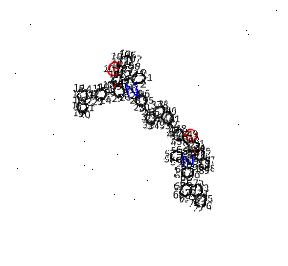 c1ccc(N(c2ccc(-c3ccc(-c4cccc5ccccc45)cc3)cc2)c2ccc(-c3cccc4c3ccc3ccc(-c5ccc6c(c5)oc5cccc(-c7ccccc7N(c7ccc(-c8cccc9c8ccc8ccccc89)cc7)c7cccc8ccccc78)c56)cc34)cc2)c(-c2cccc3oc4ccccc4c23)c1